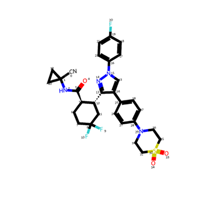 N#CC1(NC(=O)[C@@H]2CCC(F)(F)C[C@H]2c2nn(-c3ccc(F)cc3)cc2-c2ccc(N3CCS(=O)(=O)CC3)cc2)CC1